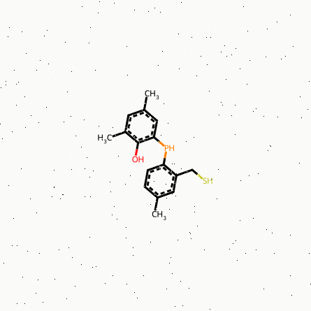 Cc1ccc(Pc2cc(C)cc(C)c2O)c(CS)c1